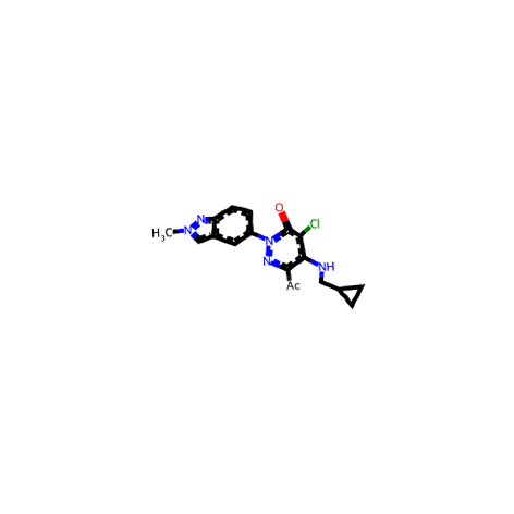 CC(=O)c1nn(-c2ccc3nn(C)cc3c2)c(=O)c(Cl)c1NCC1CC1